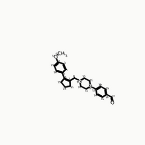 COc1ccc(C2=C(CN3CCN(c4ccc([C]=O)cc4)CC3)CCC2)cc1